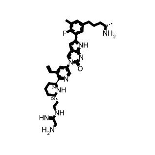 C=Cc1cc(-n2cc3cc(-c4cc(CCC[C@H](C)N)cc(C)c4F)[nH]c3nc2=O)cnc1[C@@H]1CCC[C@@H](CCNC(=N)CN)N1